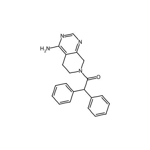 Nc1ncnc2c1CCN(C(=O)C(c1ccccc1)c1ccccc1)C2